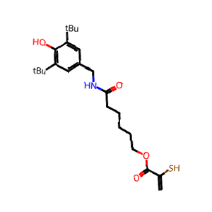 C=C(S)C(=O)OCCCCCC(=O)NCc1cc(C(C)(C)C)c(O)c(C(C)(C)C)c1